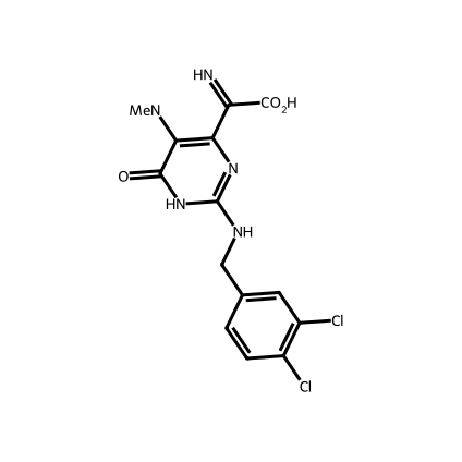 CNc1c(C(=N)C(=O)O)nc(NCc2ccc(Cl)c(Cl)c2)[nH]c1=O